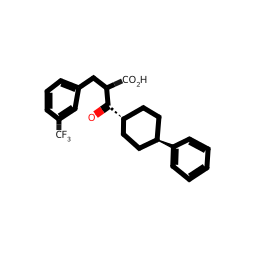 O=C(O)C(Cc1cccc(C(F)(F)F)c1)C(=O)[C@H]1CC[C@H](c2ccccc2)CC1